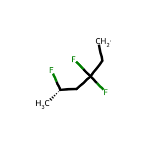 [CH2]CC(F)(F)C[C@H](C)F